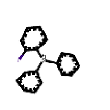 Ic1ccccc1[SiH](c1ccccc1)c1ccccc1